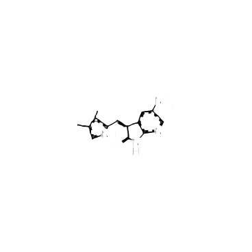 Cc1c[nH]c(C=C2C(=O)Nc3ncc(N)cc32)c1C